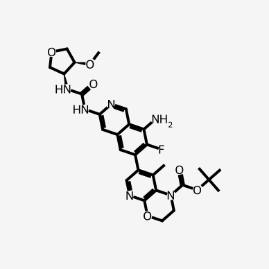 CO[C@@H]1COC[C@@H]1NC(=O)Nc1cc2cc(-c3cnc4c(c3C)N(C(=O)OC(C)(C)C)CCO4)c(F)c(N)c2cn1